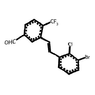 O=Cc1ccc(C(F)(F)F)c(C=Cc2cccc(Br)c2Cl)c1